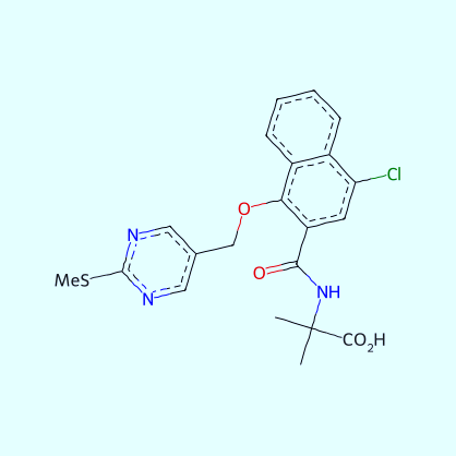 CSc1ncc(COc2c(C(=O)NC(C)(C)C(=O)O)cc(Cl)c3ccccc23)cn1